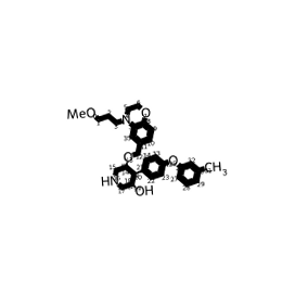 COCCCN1CCOc2ccc(CO[C@H]3CNC[C@@H](O)[C@@H]3c3ccc(Oc4cccc(C)c4)cc3)cc21